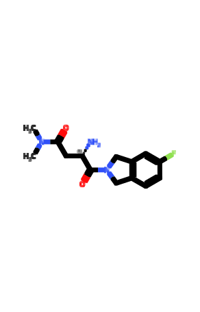 CN(C)C(=O)C[C@H](N)C(=O)N1Cc2ccc(F)cc2C1